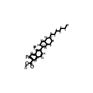 CCCCCCCC1CCC2CC(c3ccc4cc(C(=O)OC)c(F)cc4c3F)CCC2C1